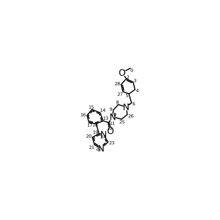 COC1=CCC(CN2CCN(C(=O)c3ccccc3-c3ccncn3)CC2)C=C1